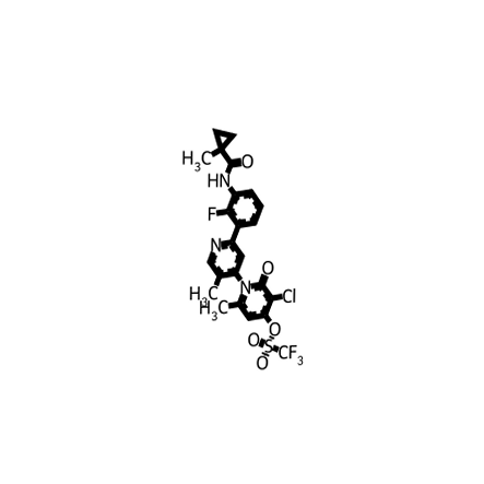 Cc1cnc(-c2cccc(NC(=O)C3(C)CC3)c2F)cc1-n1c(C)cc(OS(=O)(=O)C(F)(F)F)c(Cl)c1=O